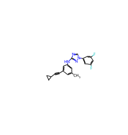 Cc1cc(C#CC2CC2)cc(Nc2ncn(-c3cc(F)cc(F)c3)n2)c1